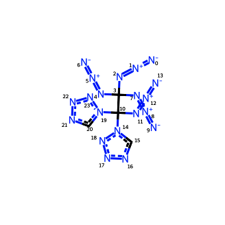 [N-]=[N+]=NC(N=[N+]=[N-])(N=[N+]=[N-])C(N=[N+]=[N-])(n1cnnn1)n1cnnn1